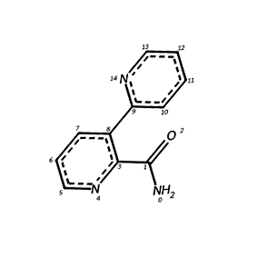 NC(=O)c1ncccc1-c1ccccn1